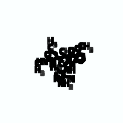 C=C(/C=C(\CCC)NC(=O)NCC)n1c([C@H](C)Nc2ncnc(N)c2C#N)nc2cccc(OC)c2c1=O